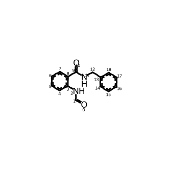 O=CNc1ccccc1C(=O)NCc1ccccc1